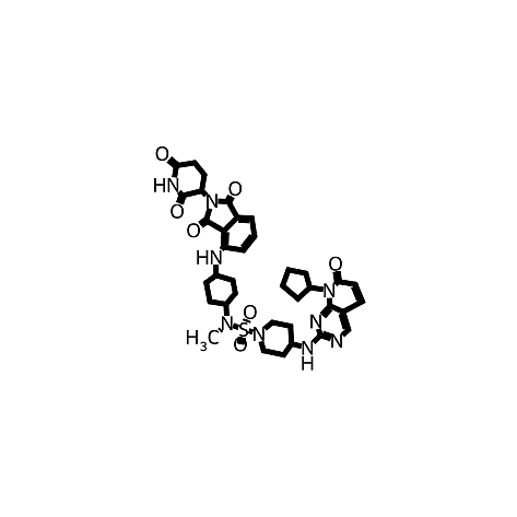 CN(C1CCC(Nc2cccc3c2C(=O)N(C2CCC(=O)NC2=O)C3=O)CC1)S(=O)(=O)N1CCC(Nc2ncc3ccc(=O)n(C4CCCC4)c3n2)CC1